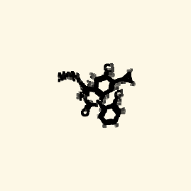 CNc1nc(=O)n(-c2ccccc2Cl)c2cc(C3CC3)c(Cl)cc12